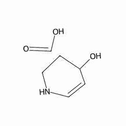 O=CO.OC1C=CNCC1